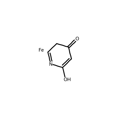 O=C1C=C(O)N=CC1.[Fe]